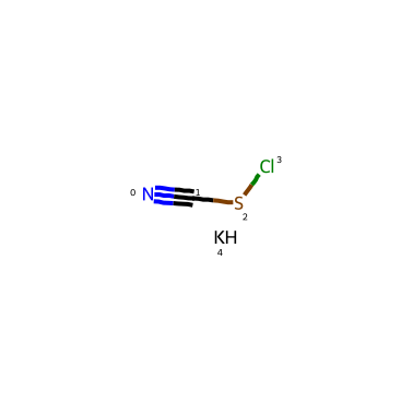 N#CSCl.[KH]